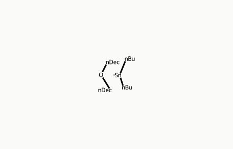 CCCCCCCCCCOCCCCCCCCCC.CCC[CH2][Sn][CH2]CCC